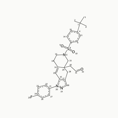 CC(C)(C)c1ccc(S(=O)(=O)N2CCC3=Cc4c(cnn4-c4ccc(F)cc4)CC3(CC=O)C2)cc1